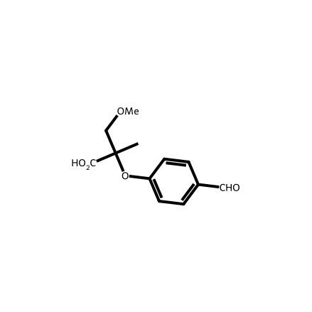 COCC(C)(Oc1ccc(C=O)cc1)C(=O)O